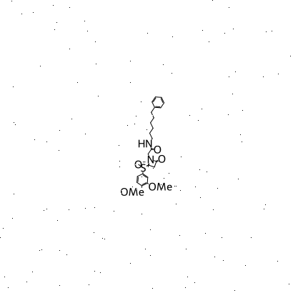 COc1ccc([S+]([O-])C2CC(=O)N2CC(=O)NCCCCCCc2ccccc2)cc1OC